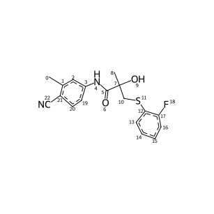 Cc1cc(NC(=O)C(C)(O)CSc2ccccc2F)ccc1C#N